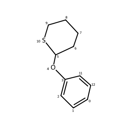 c1ccc(OC2CCCCS2)cc1